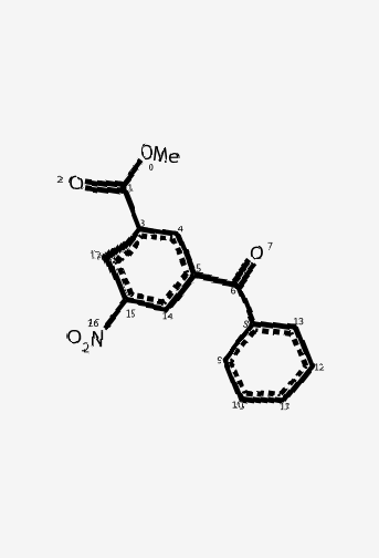 COC(=O)c1cc(C(=O)c2ccccc2)cc([N+](=O)[O-])c1